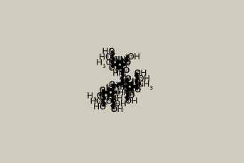 CN(CC(O)CO)C(=O)c1c(I)c(NC(=O)CO)c(I)c(C(=O)NCCN(CCNC(=O)c2c(I)c(NC(=O)C(O)CO)c(I)c(C(=O)N(C)CC(O)CO)c2I)C(=O)c2c(I)c(NC(=O)CO)c(I)c(C(=O)N(C)CC(O)CO)c2I)c1I